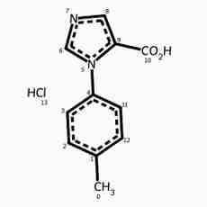 Cc1ccc(-n2cncc2C(=O)O)cc1.Cl